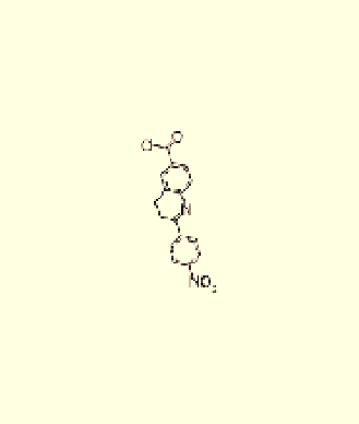 O=C(Cl)c1ccc2c(c1)CCC(c1ccc([N+](=O)[O-])cc1)=N2